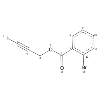 O=C(OCC#CI)c1ccccc1Br